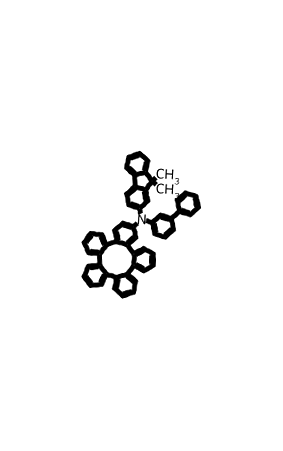 CC1(C)c2ccccc2-c2ccc(N(c3cccc(-c4ccccc4)c3)c3ccc4c5ccccc5c5ccccc5c5ccccc5c5ccccc5c4c3)cc21